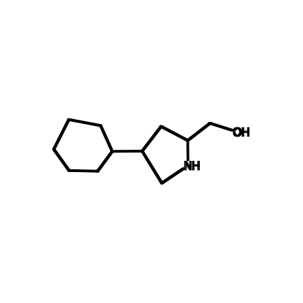 OCC1CC(C2CCCCC2)CN1